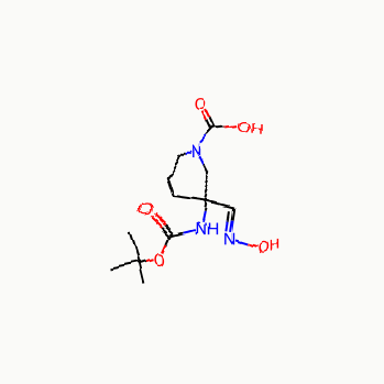 CC(C)(C)OC(=O)NC1(C=NO)CCCN(C(=O)O)C1